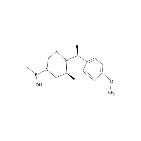 CB(O)N1CCN([C@@H](C)c2ccc(OC(F)(F)F)cc2)[C@@H](C)C1